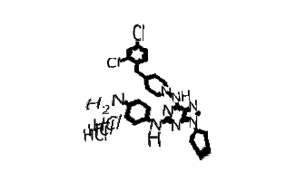 Cl.Cl.Cl.NC1CCC(Nc2nc(NN3CCC(Cc4ccc(Cl)cc4Cl)CC3)c3ncn(C4CCCC4)c3n2)CC1